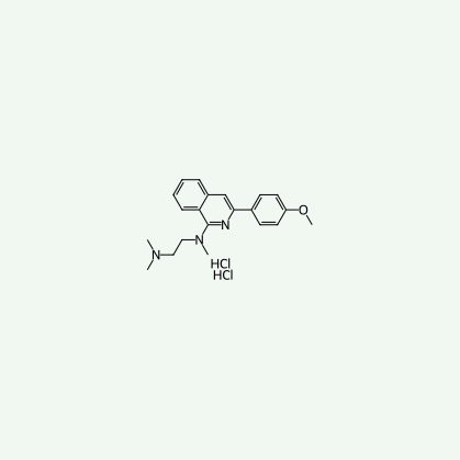 COc1ccc(-c2cc3ccccc3c(N(C)CCN(C)C)n2)cc1.Cl.Cl